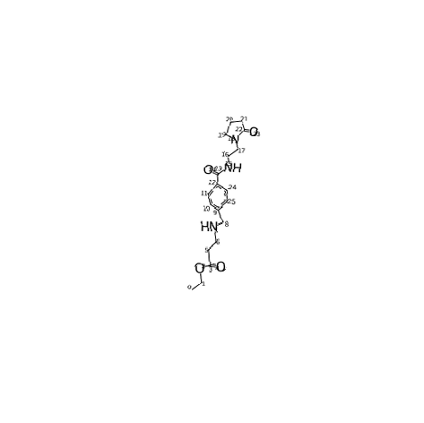 CCOC(=O)CCNCc1ccc(C(=O)NCCN2CCCC2=O)cc1